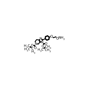 CC(C)(C)OC(=O)N1CCc2nc(-c3ccc(OCCON)cc3)n(C(=O)OC(C)(C)C)c2C1